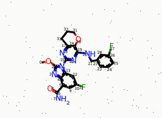 COc1nc2c(C(N)=O)cc(F)cc2n1-c1nc2c(c(NCc3cccc(F)c3)n1)OCCC2